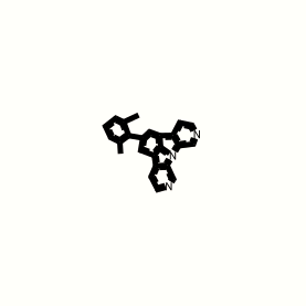 Cc1cccc(C)c1-c1cc2c3ccncc3n3c4cnccc4c(c1)c23